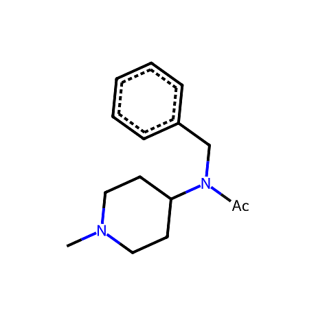 CC(=O)N(Cc1ccccc1)C1CCN(C)CC1